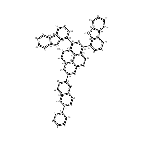 c1ccc(-c2ccc3cc(-c4cc5ccc6c(-c7cccc8c7oc7ccccc78)cc(-c7cccc8c7oc7ccccc78)c7ccc(c4)c5c67)ccc3c2)cc1